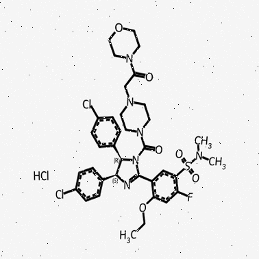 CCOc1cc(F)c(S(=O)(=O)N(C)C)cc1C1=N[C@@H](c2ccc(Cl)cc2)[C@@H](c2ccc(Cl)cc2)N1C(=O)N1CCN(CC(=O)N2CCOCC2)CC1.Cl